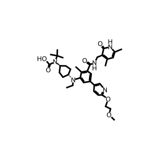 CCN(c1cc(-c2ccc(OCCOC)nc2)cc(C(=O)NCc2c(C)cc(C)[nH]c2=O)c1C)[C@H]1CC[C@H](N(C(=O)O)C(C)(C)C)CC1